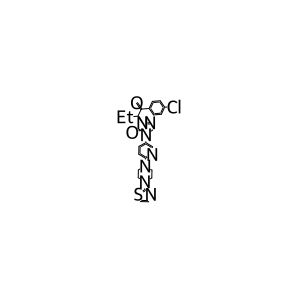 CCC(C(=O)c1ccc(Cl)cc1)n1ncn(-c2ccc(N3CCN(c4nccs4)CC3)nc2)c1=O